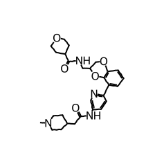 CN1CCC(CC(=O)Nc2ccc(-c3cccc4c3OC(CNC(=O)C3CCOCC3)CO4)nc2)CC1